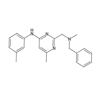 Cc1cccc(Nc2cc(C)nc(CN(C)Cc3ccccc3)n2)c1